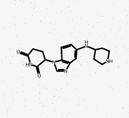 O=C1CCC(n2cnc3cc(NC4CCNCC4)ccc32)C(=O)N1